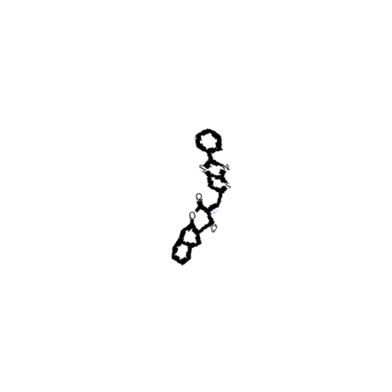 O=C1Oc2cc3ccccc3cc2C(=O)/C1=C/c1cc2sc(-c3ccccc3)nc2s1